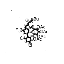 CCCCOC(=O)c1cc2c(C(F)(F)F)cc(-c3ccc(Cl)cc3Cl)cc2n1O[C@@H]1O[C@H](COC(C)=O)[C@@H](OC(C)=O)[C@H](OC(C)=O)[C@H]1OC(C)=O